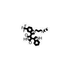 O=C1NC(=O)C(c2cn(CCCN=C=S)c3ccc(C(F)(F)F)cc23)=C1c1c[nH]c2ccccc12